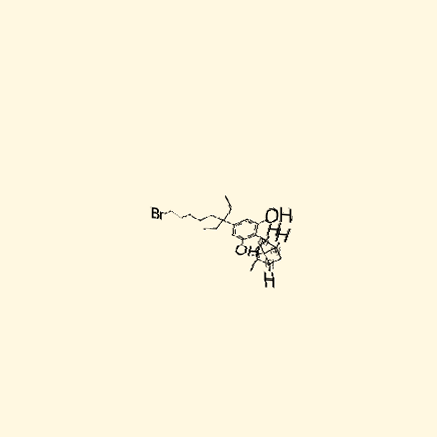 CCC(CC)(CCCCCBr)c1cc(O)c([C@H]2C=C(C)[C@H]3C[C@@H]2C3(C)C)c(O)c1